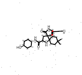 CC1(C)CCC2(CC1)NC(C(=O)N[C@H]1CC[C@H](O)CC1)CC21C(=O)Nc2cc(Cl)ccc21